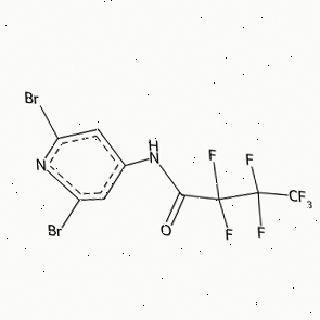 O=C(Nc1cc(Br)nc(Br)c1)C(F)(F)C(F)(F)C(F)(F)F